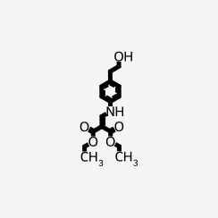 CCOC(=O)C(=CNc1ccc(CCO)cc1)C(=O)OCC